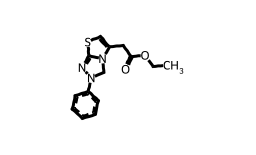 CCOC(=O)CC1=CSC2=NN(c3ccccc3)CN12